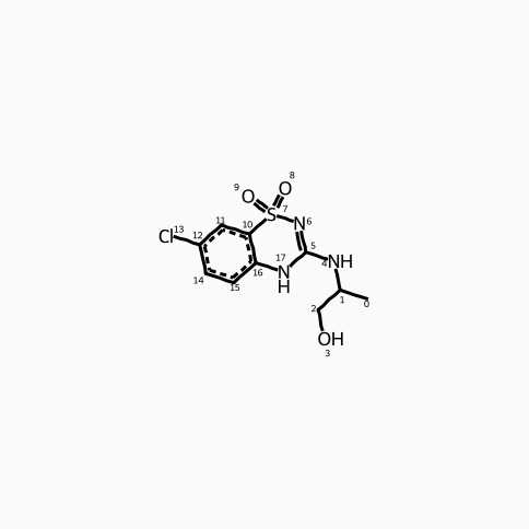 CC(CO)NC1=NS(=O)(=O)c2cc(Cl)ccc2N1